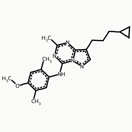 COc1cc(C)c(Nc2nc(C)nc3c(CCCC4CC4)cnn23)cc1C